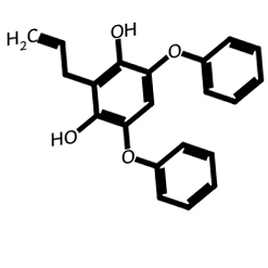 C=CCc1c(O)c(Oc2ccccc2)cc(Oc2ccccc2)c1O